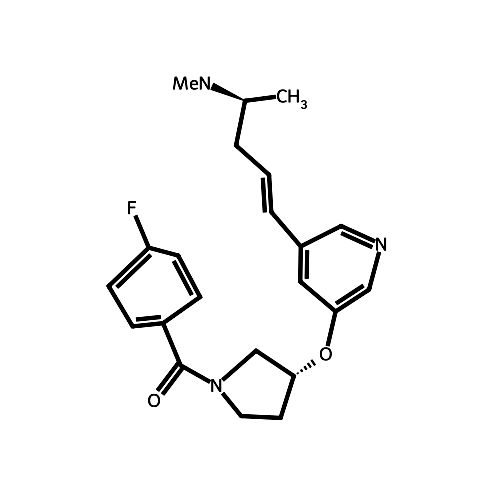 CN[C@@H](C)CC=Cc1cncc(O[C@@H]2CCN(C(=O)c3ccc(F)cc3)C2)c1